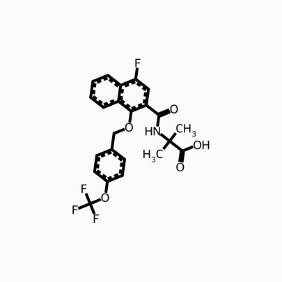 CC(C)(NC(=O)c1cc(F)c2ccccc2c1OCc1ccc(OC(F)(F)F)cc1)C(=O)O